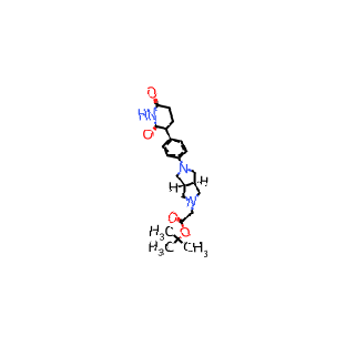 CC(C)(C)OC(=O)CN1C[C@@H]2CN(c3ccc(C4CCC(=O)NC4=O)cc3)C[C@H]2C1